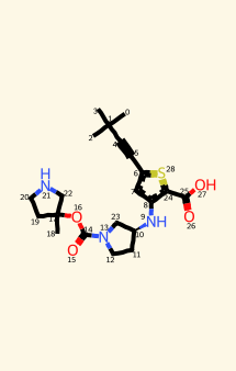 CC(C)(C)C#Cc1cc(N[C@H]2CCN(C(=O)OC3(C)CCNC3)C2)c(C(=O)O)s1